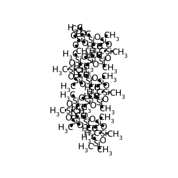 CO[Si](OC)(OC)O[Si](C)(C)O[Si](C)(C)O[Si](C)(C)O[Si](C)(C)O[Si](C)(C)O[Si](C)(C)O[Si](C)(C)O[Si](C)(C)O[Si](C)(C)O[Si](C)(C)O[Si](C)(C)O[Si](C)(C)O[Si](C)(C)O[Si](C)(C)O[Si](C)(C)O[Si](C)(C)O[Si](C)(C)O[Si](C)(C)O[Si](C)(C)O[Si](C)(C)C